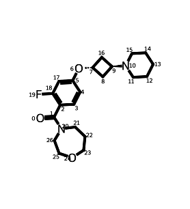 O=C(c1ccc(O[C@H]2C[C@H](N3CCCCC3)C2)cc1F)N1CCCOCC1